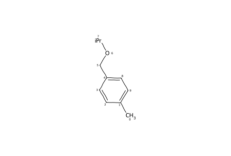 Cc1ccc(COC(C)C)cc1